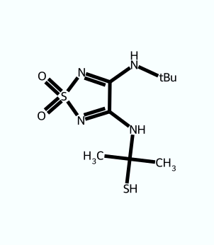 CC(C)(C)NC1=NS(=O)(=O)N=C1NC(C)(C)S